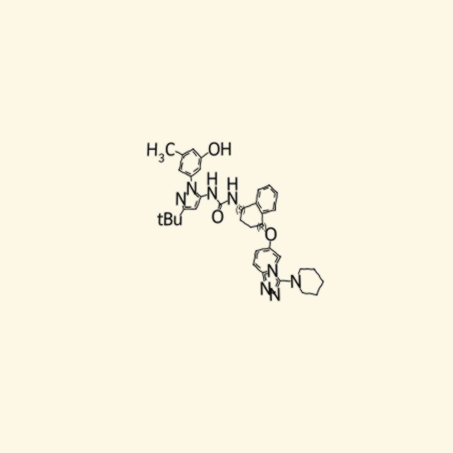 Cc1cc(O)cc(-n2nc(C(C)(C)C)cc2NC(=O)N[C@H]2CC[C@@H](Oc3ccc4nnc(N5CCCCC5)n4c3)c3ccccc32)c1